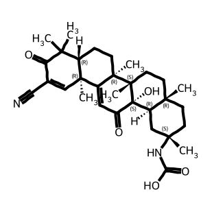 CC1(C)C(=O)C(C#N)=C[C@]2(C)C3=CC(=O)[C@]4(O)[C@@H]5C[C@@](C)(NC(=O)O)CC[C@@]5(C)CC[C@@]4(C)[C@]3(C)CC[C@@H]12